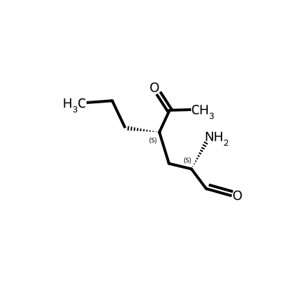 CCC[C@@H](C[C@H](N)C=O)C(C)=O